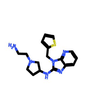 NCCN1CCC(Nc2nc3cccnc3n2Cc2cccs2)C1